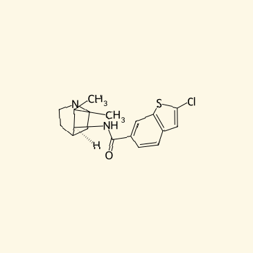 CC1(C)[C@@H](NC(=O)c2ccc3cc(Cl)sc3c2)C2CCN1CC2